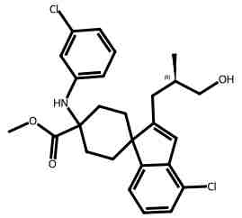 COC(=O)C1(Nc2cccc(Cl)c2)CCC2(CC1)C(C[C@@H](C)CO)=Cc1c(Cl)cccc12